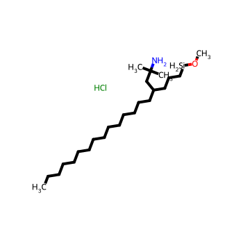 CCCCCCCCCCCCCCCC(CCC[SiH2]OC)CC(C)(C)N.Cl